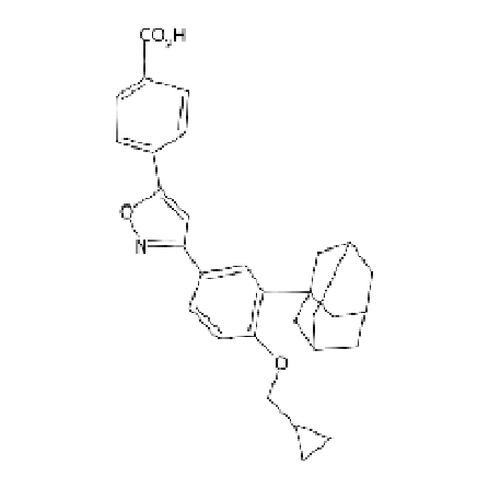 O=C(O)c1ccc(-c2cc(-c3ccc(OCC4CC4)c(C45CC6CC(CC(C6)C4)C5)c3)no2)cc1